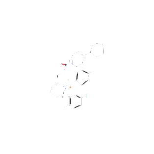 O=C(OC[C@@H]1CCC[C@H](c2cc(F)ccc2F)N1S(=O)(=O)c1ccc(Cl)cc1)N1CCN(C2CCCCC2)CC1